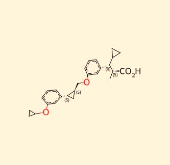 C[C@H](C(=O)O)[C@H](c1cccc(OC[C@H]2C[C@@H]2c2cccc(OC3CC3)c2)c1)C1CC1